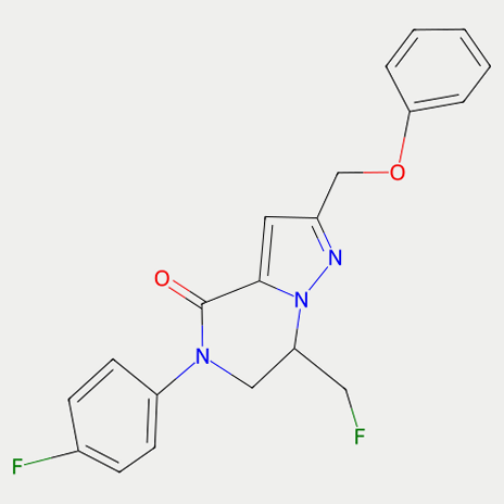 O=C1c2cc(COc3ccccc3)nn2C(CF)CN1c1ccc(F)cc1